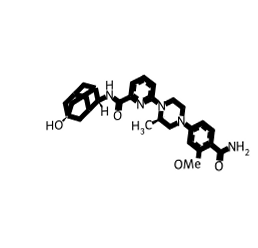 COc1cc(N2CCN(c3cccc(C(=O)N[C@H]4C5CC6CC4C[C@](O)(C6)C5)n3)[C@H](C)C2)ccc1C(N)=O